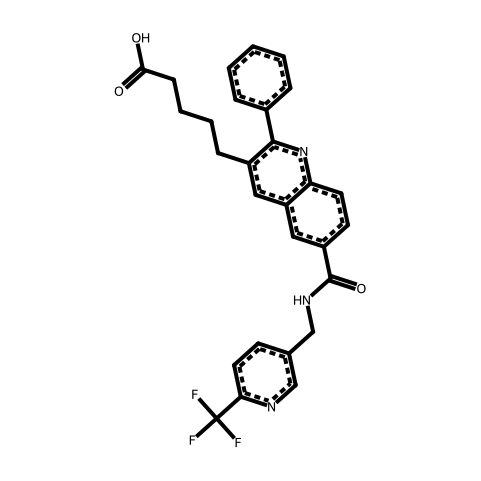 O=C(O)CCCCc1cc2cc(C(=O)NCc3ccc(C(F)(F)F)nc3)ccc2nc1-c1ccccc1